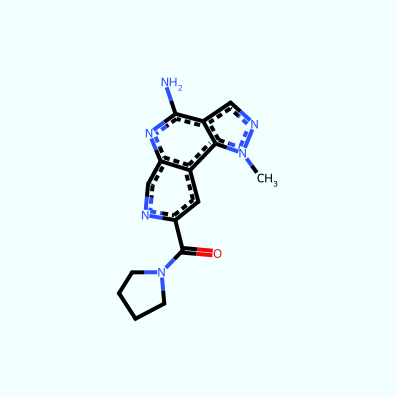 Cn1ncc2c(N)nc3cnc(C(=O)N4CCCC4)cc3c21